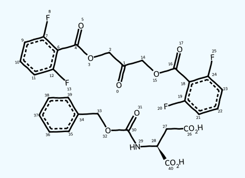 O=C(COC(=O)c1c(F)cccc1F)COC(=O)c1c(F)cccc1F.O=C(O)C[C@H](NC(=O)OCc1ccccc1)C(=O)O